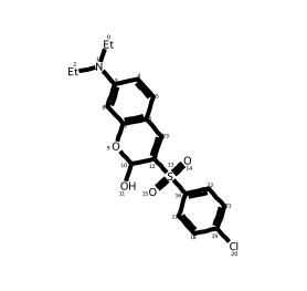 CCN(CC)c1ccc2c(c1)OC(O)C(S(=O)(=O)c1ccc(Cl)cc1)=C2